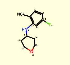 N#Cc1ccc(F)cc1NC1CCOCC1